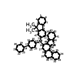 CC1(C)c2ccccc2-c2ccc(N(c3ccc(-c4ccccc4)cc3)c3cc4ccc5ccccc5c4c4sc5ccccc5c34)cc21